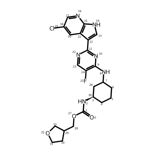 O=C(N[C@@H]1CCCC(Nc2nc(-c3c[nH]c4ncc(Cl)cc34)ncc2F)C1)OCC1CCOC1